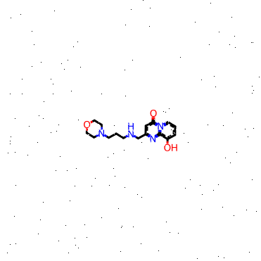 O=c1cc(CNCCCN2CCOCC2)nc2c(O)cccn12